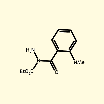 CCOC(=O)N(N)C(=O)c1ccccc1NC